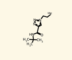 CC(C)(C)NC(=O)c1cn(CC[18F])nn1